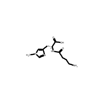 Cn1cnc(C[C@@H](NC(=O)CCCN)C(=O)O)c1